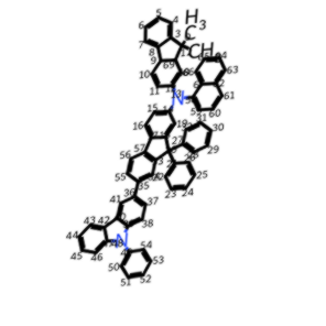 CC1(C)c2ccccc2C2C=CC(N(c3ccc4c(c3)C(c3ccccc3)(c3ccccc3)c3cc(-c5ccc6c(c5)c5ccccc5n6-c5ccccc5)ccc3-4)c3cccc4ccccc34)=CC21